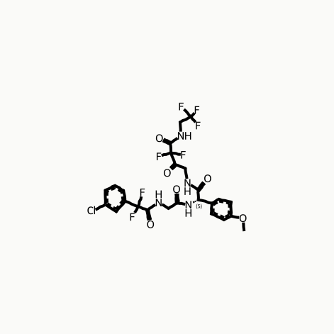 COc1ccc([C@H](NC(=O)CNC(=O)C(F)(F)c2cccc(Cl)c2)C(=O)NCC(=O)C(F)(F)C(=O)NCC(F)(F)F)cc1